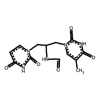 Cc1cn(CC(Cn2ccc(=O)[nH]c2=O)NC=O)c(=O)[nH]c1=O